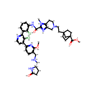 COC(=O)C12CCC(CCN3CCc4c(nc(C(=O)Nc5cccc(-c6nccc(-c7ccc(CNC[C@@H]8CCC(=O)N8)c(OC)n7)c6Cl)c5Cl)n4C)C3)(CC1)C2